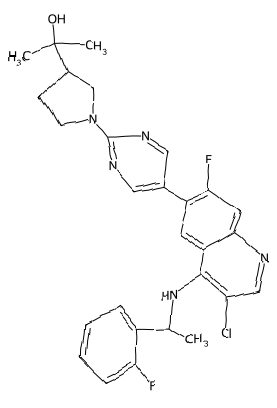 CC(Nc1c(Cl)cnc2cc(F)c(-c3cnc(N4CCC(C(C)(C)O)C4)nc3)cc12)c1ccccc1F